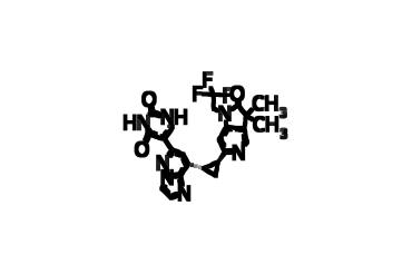 CC1(C)C(=O)N(CC(F)(F)F)c2cc([C@H]3C[C@@H]3c3cc(-c4c[nH]c(=O)[nH]c4=O)nn4ccnc34)ncc21